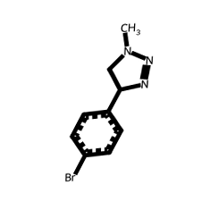 CN1CC(c2ccc(Br)cc2)N=N1